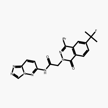 CC(C)c1nn(CC(=O)Nc2ccc3nncn3n2)c(=O)c2ccc(C(C)(C)F)cc12